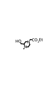 CCOC(=O)CN1CCN(C)C(CO)C1